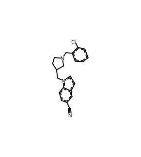 N#Cc1ccc2c(ccn2CC2CCN(Cc3ccccc3Cl)C2)c1